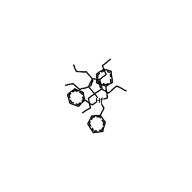 CCCC1=C(CCC)[C](CCC)([Hf]([CH2]c2ccccc2)([CH2]c2ccccc2)[CH2]c2ccccc2)C(CCC)=C1CCC